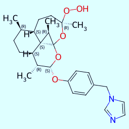 C[C@H]1[C@@H](Oc2ccc(Cn3ccnc3)cc2)OC23O[C@](C)(OO)CC[C@H]4[C@H](C)CC[C@@H]1[C@]42[C@H]3C